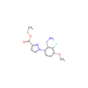 CCOC(=O)c1ccn(-c2ccc(OC)c(F)c2CN)n1